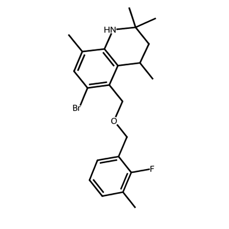 Cc1cccc(COCc2c(Br)cc(C)c3c2C(C)CC(C)(C)N3)c1F